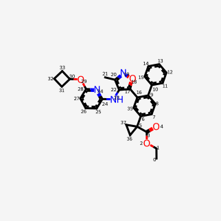 CCOC(=O)C1(c2ccc(-c3ccccc3)c(-c3onc(C)c3Nc3cccc(OC4CCC4)n3)c2)CC1